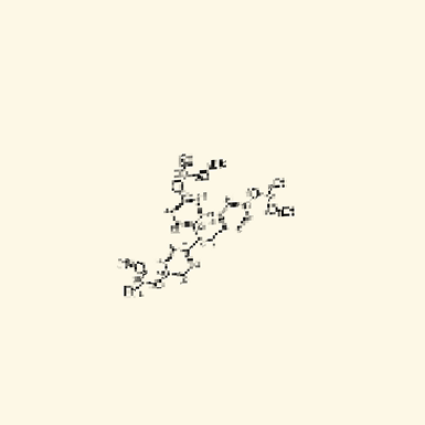 CCOC(CC)Oc1ccc(CC(c2ccc(OC(CC)OCC)cc2)c2ccc(OC(CC)OCC)cc2)cc1